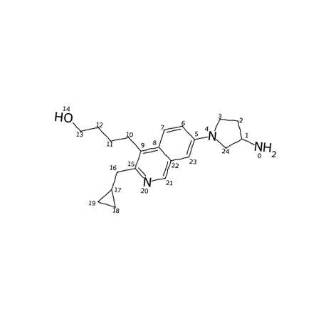 NC1CCN(c2ccc3c(CCCCO)c(CC4CC4)ncc3c2)C1